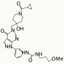 COCCCNC(=O)Nc1cccc(-n2ncc3c(=O)n(CC4(O)CCN(C(=O)C5CC5)CC4)cnc32)c1